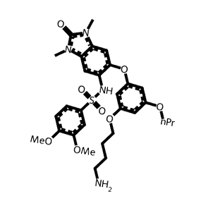 CCCOc1cc(OCCCCN)cc(Oc2cc3c(cc2NS(=O)(=O)c2ccc(OC)c(OC)c2)n(C)c(=O)n3C)c1